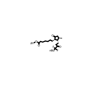 CCCCC(F)(F)C(=O)CC[C@H]1[C@H](C)CC(=O)[C@@H]1CCCCCCC(=O)OC(C)C